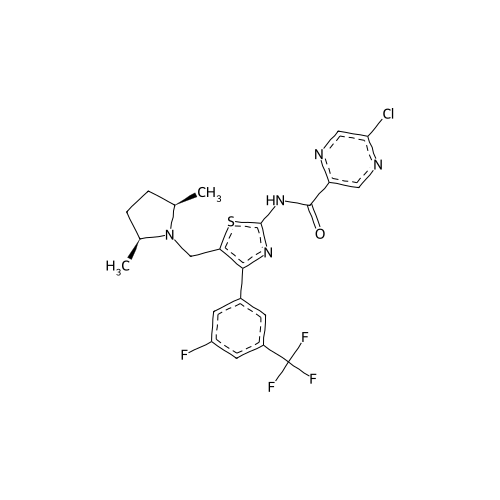 C[C@@H]1CC[C@H](C)N1Cc1sc(NC(=O)c2cnc(Cl)cn2)nc1-c1cc(F)cc(C(F)(F)F)c1